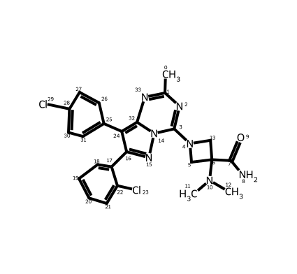 Cc1nc(N2CC(C(N)=O)(N(C)C)C2)n2nc(-c3ccccc3Cl)c(-c3ccc(Cl)cc3)c2n1